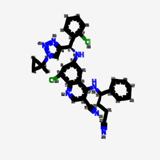 CC1(n2cc([C@@H](Nc3cc(Cl)c4ncc(C#N)c(N[C@H](CCC#N)c5ccccc5)c4c3)c3ccccc3Cl)nn2)CC1